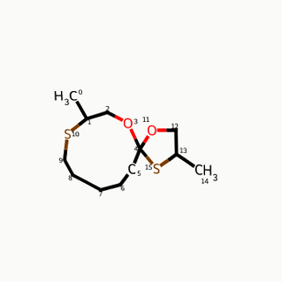 CC1COC2(CCCCCS1)OCC(C)S2